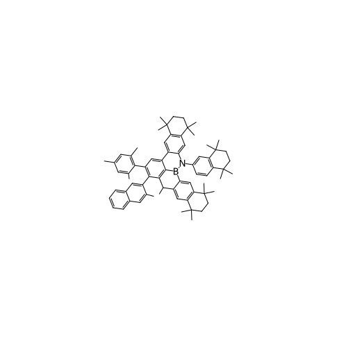 Cc1cc(C)c(-c2cc3c4c(c2-c2cc5ccccc5cc2C)C(C)c2cc5c(cc2B4N(c2ccc4c(c2)C(C)(C)CCC4(C)C)c2cc4c(cc2-3)C(C)(C)CCC4(C)C)C(C)(C)CCC5(C)C)c(C)c1